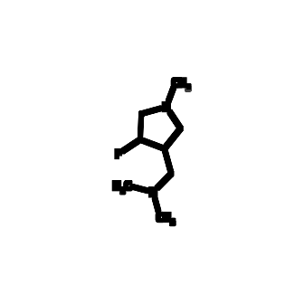 CN(C)CC1CN(C)CC1F